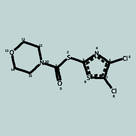 O=C(Sc1nc(Cl)c(Cl)s1)N1CCOCC1